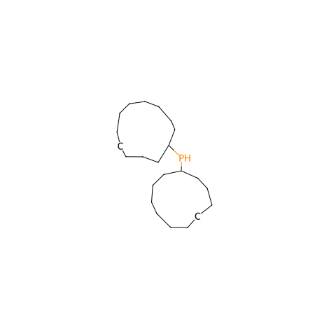 C1CCCCCC(PC2CCCCCCCCCC2)CCCCC1